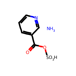 N.O=C(OS(=O)(=O)O)c1cccnc1